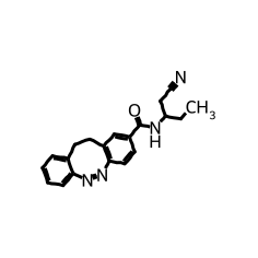 CCC(CC#N)NC(=O)c1ccc2c(c1)CCc1ccccc1/N=N\2